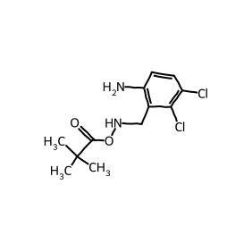 CC(C)(C)C(=O)ONCc1c(N)ccc(Cl)c1Cl